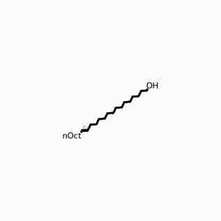 CCCCCCCC/C=C/CCCCCCCCCCCCCCO